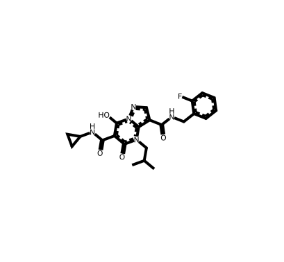 CC(C)Cn1c(=O)c(C(=O)NC2CC2)c(O)n2ncc(C(=O)NCc3ccccc3F)c12